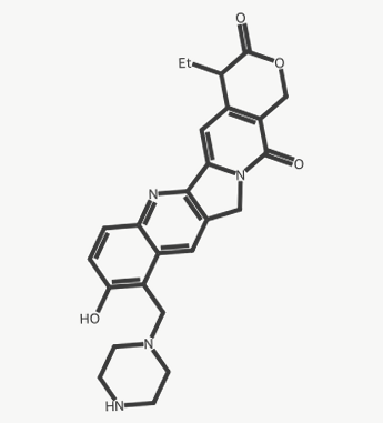 CCC1C(=O)OCc2c1cc1n(c2=O)Cc2cc3c(CN4CCNCC4)c(O)ccc3nc2-1